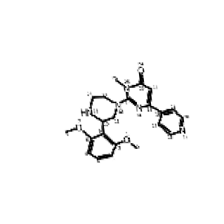 COc1cccc(OC)c1C1CN(c2nc(-c3ccncc3)cc(=O)n2C)CCN1